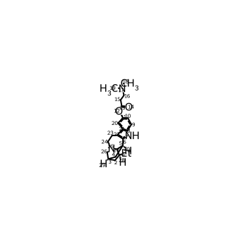 CC[C@H]1C[C@H]2C[C@H]3c4[nH]c5ccc(OC(=O)CCN(C)C)cc5c4CCN(C2)C13